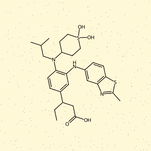 CCC(CC(=O)O)c1ccc(N(CC(C)C)C2CCS(O)(O)CC2)c(Nc2ccc3sc(C)nc3c2)c1